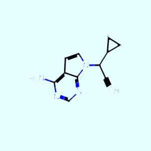 C#CC(C1CC1)n1ccc2c(N)ncnc21